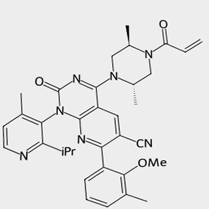 C=CC(=O)N1C[C@H](C)N(c2nc(=O)n(-c3c(C)ccnc3C(C)C)c3nc(-c4cccc(C)c4OC)c(C#N)cc23)C[C@H]1C